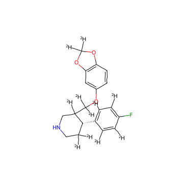 [2H]c1c([2H])c([C@@H]2C([2H])([2H])CNCC2([2H])C([2H])([2H])Oc2ccc3c(c2)OC([2H])([2H])O3)c([2H])c([2H])c1F